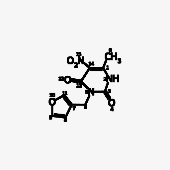 Cc1[nH]c(=O)n(Cc2ccoc2)c(=O)c1[N+](=O)[O-]